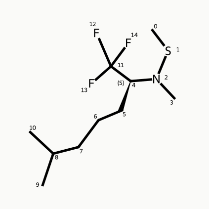 CSN(C)[C@@H](CCCC(C)C)C(F)(F)F